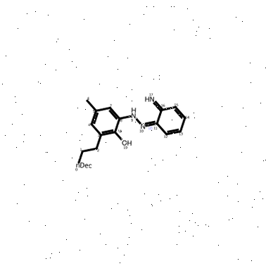 CCCCCCCCCCCCc1cc(C)cc(N/N=C2/C=CC=CC2=N)c1O